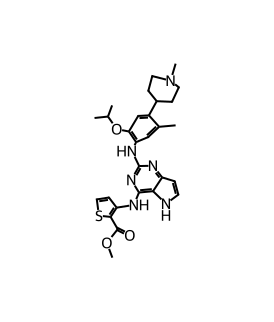 COC(=O)c1sccc1Nc1nc(Nc2cc(C)c(C3CCN(C)CC3)cc2OC(C)C)nc2cc[nH]c12